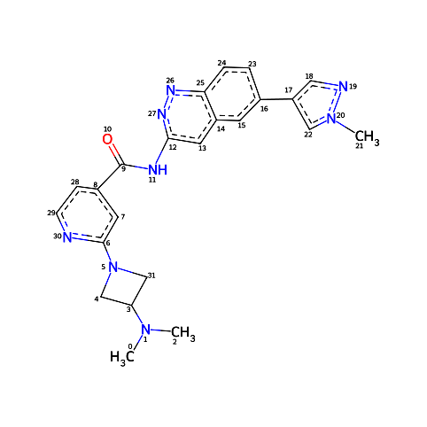 CN(C)C1CN(c2cc(C(=O)Nc3cc4cc(-c5cnn(C)c5)ccc4nn3)ccn2)C1